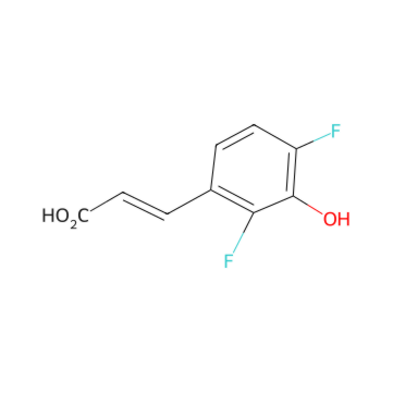 O=C(O)/C=C/c1ccc(F)c(O)c1F